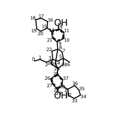 CCCC12CC3(C)CC(c4ccc(O)c(C5CCCCC5)c4)(C1)CC(c1ccc(O)c(C4CCCCC4)c1)(C3)C2